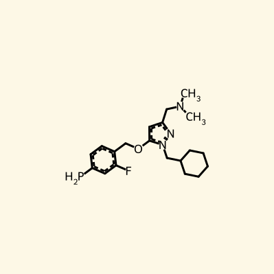 CN(C)Cc1cc(OCc2ccc(P)cc2F)n(CC2CCCCC2)n1